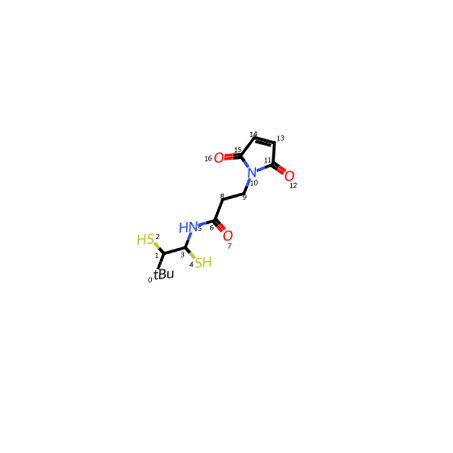 [CH2]C(C)(C)C(S)C(S)NC(=O)CCN1C(=O)C=CC1=O